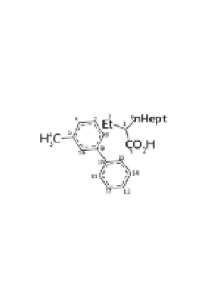 CCCCCCCC(CC)C(=O)O.Cc1cccc(-c2ccccc2)c1